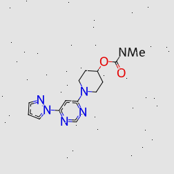 CNC(=O)OC1CCN(c2cc(-n3cccn3)ncn2)CC1